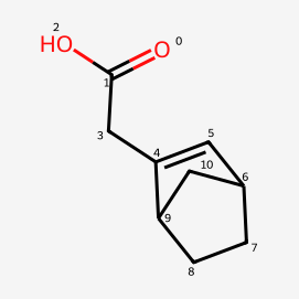 O=C(O)CC1=CC2CCC1C2